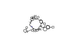 C[C@@H]1[C@@H](C)C/C=C/[C@H](OCCN2CCCC2=O)[C@@H]2CC[C@H]2CN2C[C@@]3(CCCc4cc(Cl)ccc43)COc3ccc(cc32)C(=O)NS1(=O)=O